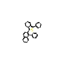 c1ccc(-c2c(-c3sc(-c4ccccc4)c4ccccc34)ccc3ccccc23)cc1